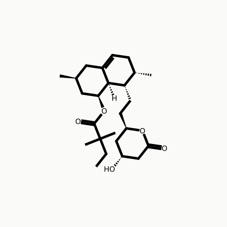 CCC(C)(C)C(=O)O[C@H]1C[C@@H](C)CC2=CC[C@H](C)[C@H](CC[C@@H]3C[C@@H](O)CC(=O)O3)[C@H]21